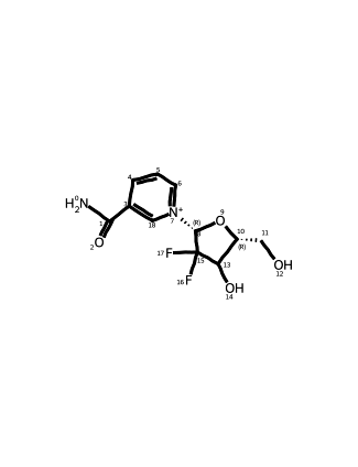 NC(=O)c1ccc[n+]([C@@H]2O[C@H](CO)C(O)C2(F)F)c1